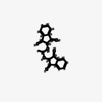 CP(ON1C(=O)c2ccccc2C1=O)ON1C(=O)c2ccccc2C1=O